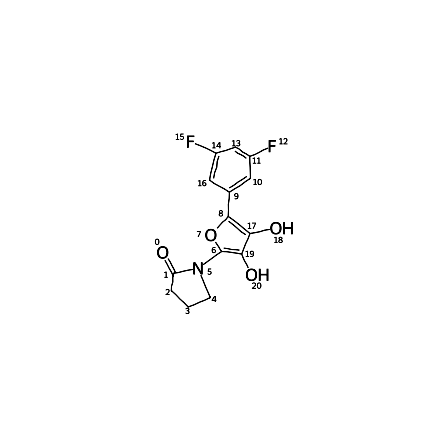 O=C1CCCN1c1oc(-c2cc(F)cc(F)c2)c(O)c1O